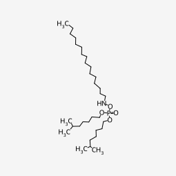 CCCCCCCCCCCCCCCCNOP(=O)(OCCCCCC(C)C)OCCCCCC(C)C